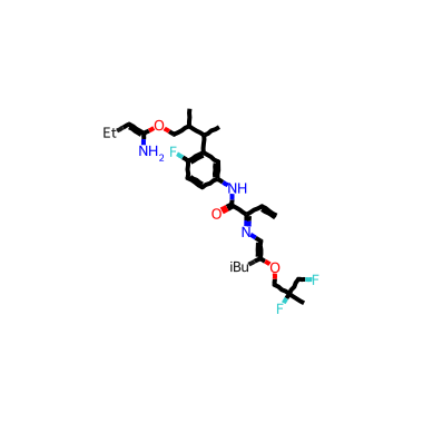 C=C/C(=N\C=C(\OCC(C)(F)CF)C(C)CC)C(=O)Nc1ccc(F)c(C(C)C(C)CO/C(N)=C/CC)c1